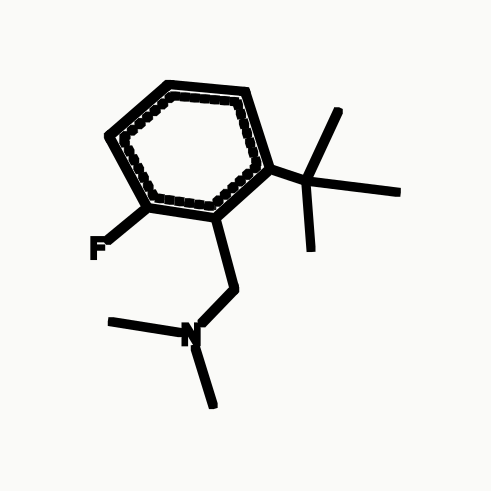 CN(C)Cc1c(F)cccc1C(C)(C)C